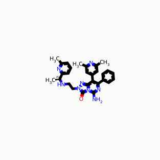 Cc1cc(-c2c(-c3ccccc3)nc(N)n3c(=O)n(CCN[C@@H](C)c4cccc(C)n4)nc23)cc(C)n1